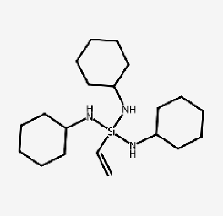 C=C[Si](NC1CCCCC1)(NC1CCCCC1)NC1CCCCC1